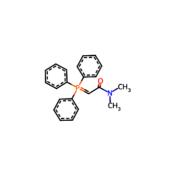 CN(C)C(=O)C=P(c1ccccc1)(c1ccccc1)c1ccccc1